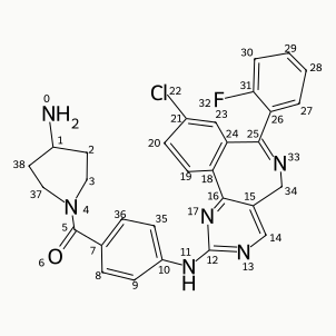 NC1CCN(C(=O)c2ccc(Nc3ncc4c(n3)-c3ccc(Cl)cc3C(c3ccccc3F)=NC4)cc2)CC1